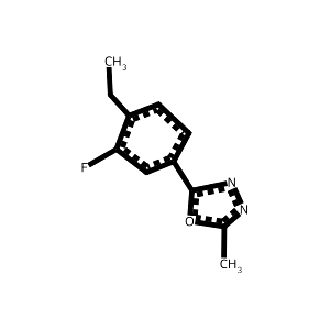 CCc1ccc(-c2nnc(C)o2)cc1F